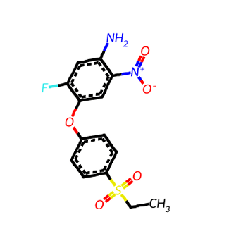 CCS(=O)(=O)c1ccc(Oc2cc([N+](=O)[O-])c(N)cc2F)cc1